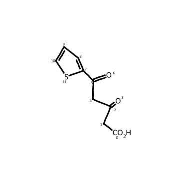 O=C(O)CC(=O)CC(=O)c1cccs1